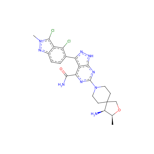 C[C@@H]1OCC2(CCN(c3nc(C(N)=O)c4c(-c5ccc6nn(C)c(Cl)c6c5Cl)n[nH]c4n3)CC2)[C@@H]1N